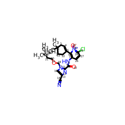 CC1(C)CC=C(c2c(NC(=O)c3nc(C#N)cn3COCC[Si](C)(C)C)ccc(Cl)[n+]2[O-])CC1